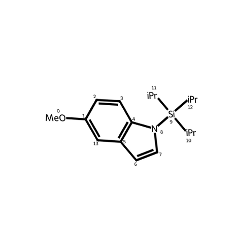 COc1ccc2c(ccn2[Si](C(C)C)(C(C)C)C(C)C)c1